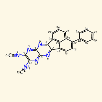 [C-]#[N+]c1nc2nc3c(nc2nc1[N+]#[C-])-c1ccc(-c2ccccc2)c2cccc-3c12